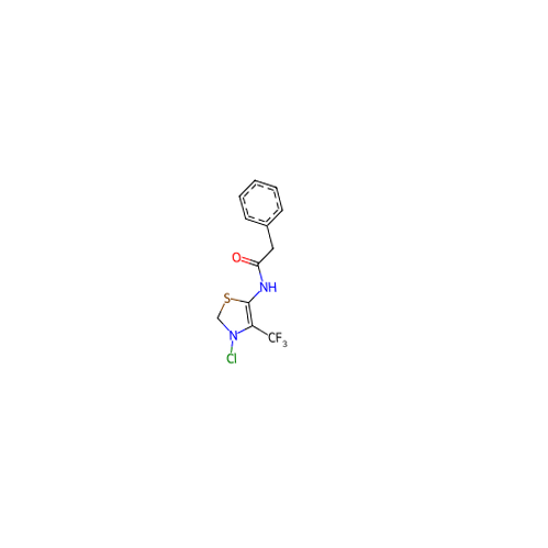 O=C(Cc1ccccc1)NC1=C(C(F)(F)F)N(Cl)CS1